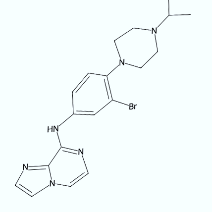 CC(C)N1CCN(c2ccc(Nc3nccn4ccnc34)cc2Br)CC1